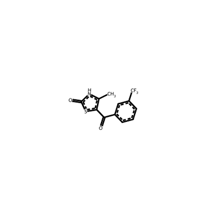 Cc1[nH]c(=O)sc1C(=O)c1cccc(C(F)(F)F)c1